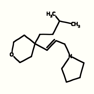 CC(C)CCC1(/C=C/CN2CCCC2)CCOCC1